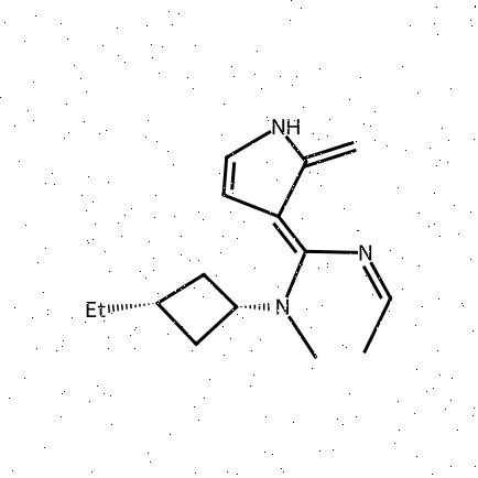 C=c1[nH]cc/c1=C(/N=C\C)N(C)[C@H]1C[C@@H](CC)C1